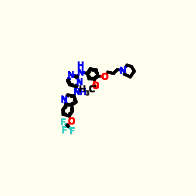 COc1cc(Nc2nccc(Nc3cnc4ccc(OC(F)(F)F)cc4c3)n2)ccc1OCCCN1CCCCC1